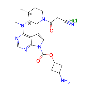 C[C@@H]1CCN(C(=O)CC#N)C[C@@H]1N(C)c1ncnc2c1ccn2C(=O)OC1CC(N)C1.Cl